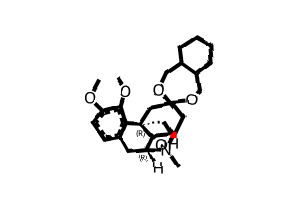 COc1ccc2c(c1OC)[C@]13CCN(C)[C@H](C2)C1(O)CCC1(C3)OCC2CCCCC2CO1